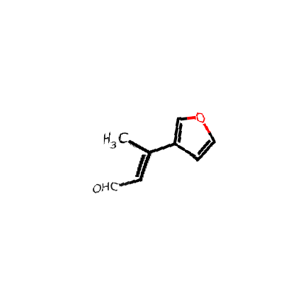 CC(=CC=O)c1ccoc1